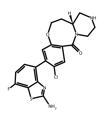 Nc1nc2c(-c3cc4c(cc3Cl)C(=O)N3CCNC[C@H]3CCO4)ccc(F)c2s1